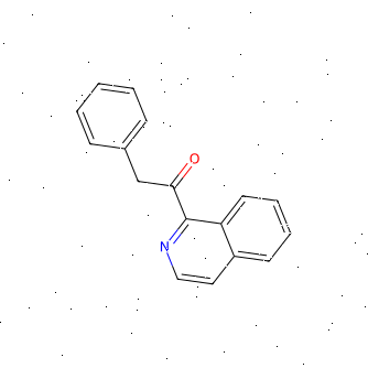 O=C(Cc1ccccc1)c1nccc2ccccc12